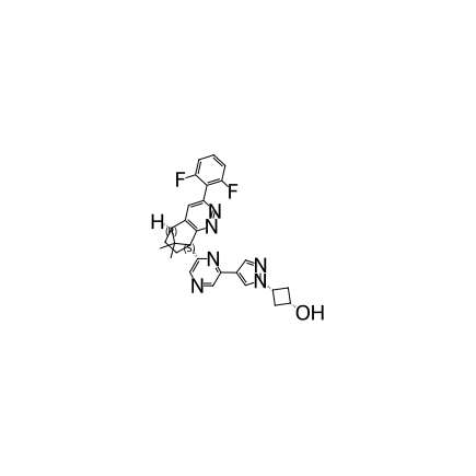 CC1(C)[C@H]2CC[C@]1(c1cncc(-c3cnn([C@H]4C[C@@H](O)C4)c3)n1)c1nnc(-c3c(F)cccc3F)cc12